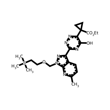 CCOC(=O)C1(c2nnc(-c3nn(COCCS(C)(C)C)c4nc(C)ccc34)nc2O)CC1